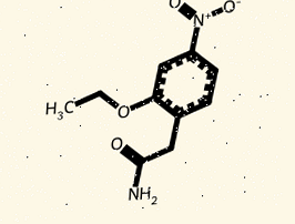 CCOc1cc([N+](=O)[O-])ccc1CC(N)=O